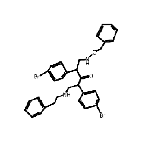 O=C(C(CNCCc1ccccc1)c1ccc(Br)cc1)C(CNCCc1ccccc1)c1ccc(Br)cc1